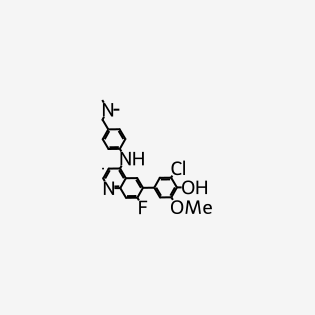 COc1cc(-c2cc3c(Nc4ccc(CN(C)C)cc4)[c]cnc3cc2F)cc(Cl)c1O